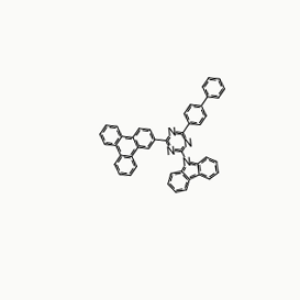 c1ccc(-c2ccc(-c3nc(-c4ccc5c6ccccc6c6ccccc6c5c4)nc(-n4c5ccccc5c5ccccc54)n3)cc2)cc1